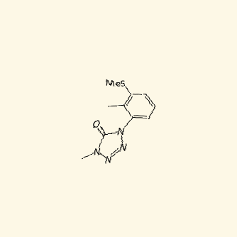 CSc1cccc(-n2nnn(C)c2=O)c1C